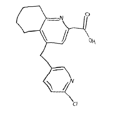 O=C(O)c1cc(Cc2ccc(Cl)nc2)c2c(n1)CCCC2